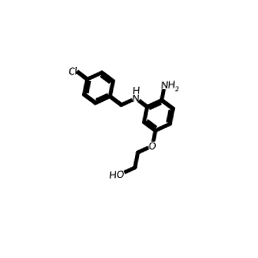 Nc1ccc(OCCO)cc1NCc1ccc(Cl)cc1